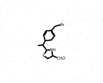 CC(C)CC1=CCC(C(C)C2NC(C=O)CS2)C=C1